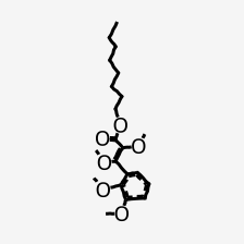 CCCCCCCCOC(=O)C(OC)=C(OC)c1cccc(OC)c1OC